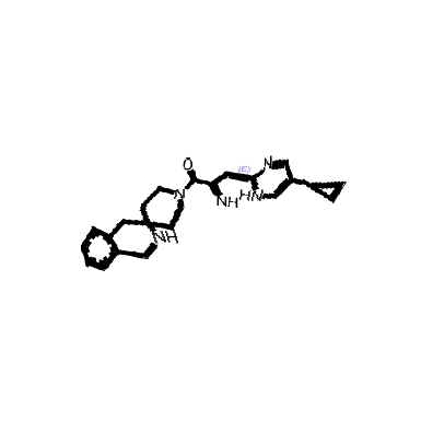 N=C(/C=C1/N=CC(C2CC2)=CN1)C(=O)N1CCC2(CC1)Cc1ccccc1CN2